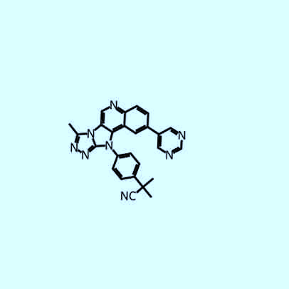 Cc1nnc2n(-c3ccc(C(C)(C)C#N)cc3)c3c4cc(-c5cncnc5)ccc4ncc3n12